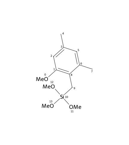 COc1cc(C)cc(C)c1C[Si](OC)(OC)OC